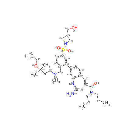 CCCN(CCC)C(=O)C1=Cc2ccc(-c3cc(S(=O)(=O)N4CC(CO)C4)ccc3CN(C)CCC(C)(C)OCC)cc2N=C(N)C1